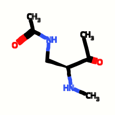 CN[C@@H](CNC(C)=O)C(C)=O